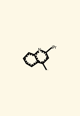 [CH2]c1cc(C(C)C)nc2ccccc12